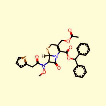 CON(C(=O)Cc1cccs1)C1C(=O)N2C(C(=O)OC(c3ccccc3)c3ccccc3)=C(COC(C)=O)CS[C@@H]12